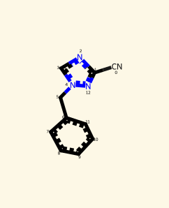 N#Cc1ncn(Cc2ccccc2)n1